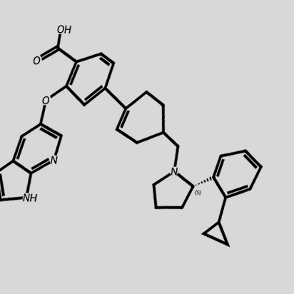 O=C(O)c1ccc(C2=CCC(CN3CCC[C@H]3c3ccccc3C3CC3)CC2)cc1Oc1cnc2[nH]ccc2c1